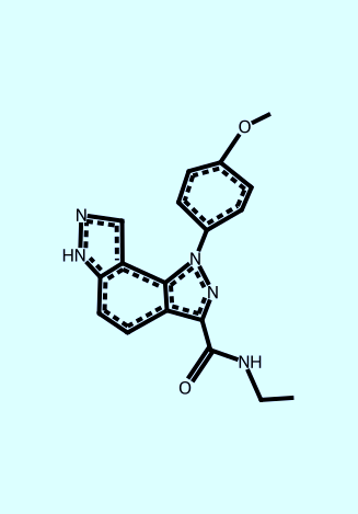 CCNC(=O)c1nn(-c2ccc(OC)cc2)c2c1ccc1[nH]ncc12